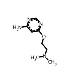 CN(C)CCOc1cc(N)ncn1